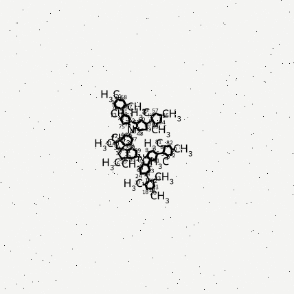 Cc1cc(C)c(-c2ccc3c(c2)c2cc(-c4c(C)cc(C)cc4C)ccc2n3-c2ccc3c(c2)C(C)(C)CC32CC(C)(C)c3cc(-n4c5ccc(-c6c(C)cc(C)cc6C)cc5c5cc(-c6c(C)cc(C)cc6C)ccc54)ccc32)c(C)c1